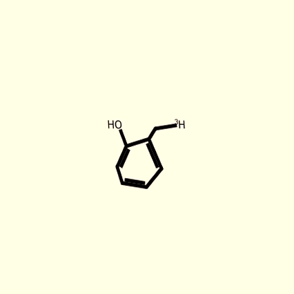 [3H]Cc1ccccc1O